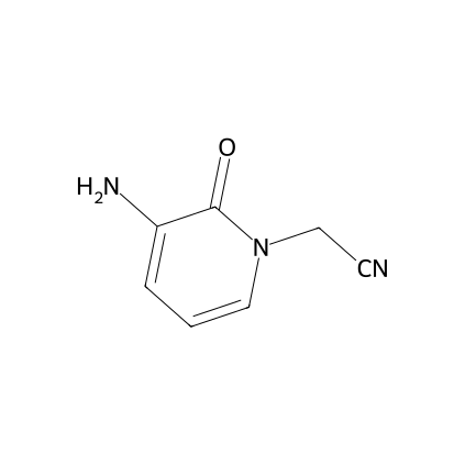 N#CCn1cccc(N)c1=O